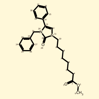 COC(=O)CCCCCCCn1cc(-c2ccccc2)n(Cc2ccccc2)c1=O